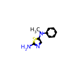 CN(c1ccccc1)c1cnc(N)s1